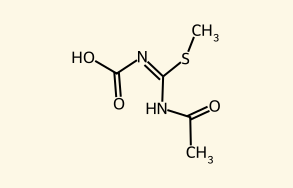 CSC(=NC(=O)O)NC(C)=O